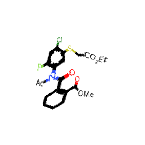 CCOC(=O)CSc1cc(N(C(C)=O)C(=O)C2=C(C(=O)OC)CCCC2)c(F)cc1Cl